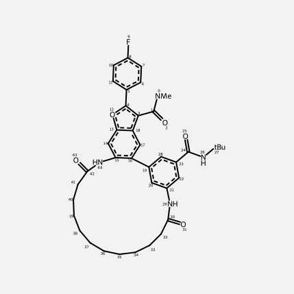 CNC(=O)c1c(-c2ccc(F)cc2)oc2cc3c(cc12)-c1cc(cc(C(=O)NC(C)(C)C)c1)NC(=O)CCCCCCCCCCC(=O)N3